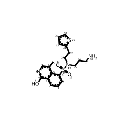 Cc1cnc(O)c2cccc(S(=O)(=O)N(CCCN)CCc3cccs3)c12